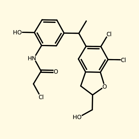 CC(c1ccc(O)c(NC(=O)CCl)c1)c1cc2c(c(Cl)c1Cl)OC(CO)C2